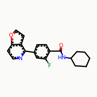 O=C(NC1CCCCC1)c1ccc(-c2nccc3occc23)cc1F